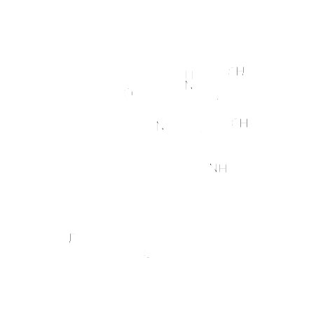 CC1(C)NC(=O)N(c2ccc(F)c(Cl)c2)C1=N